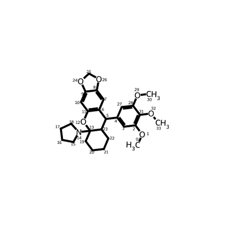 COc1cc(C2c3cc4c(cc3OC3(N5CCCC5)CCCCC23)OCO4)cc(OC)c1OC